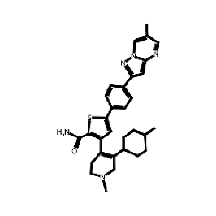 Cc1cnc2cc(-c3ccc(-c4cc(C5=C(C6CCC(C)CC6)CN(C)CC5)c(C(N)=O)s4)cc3)nn2c1